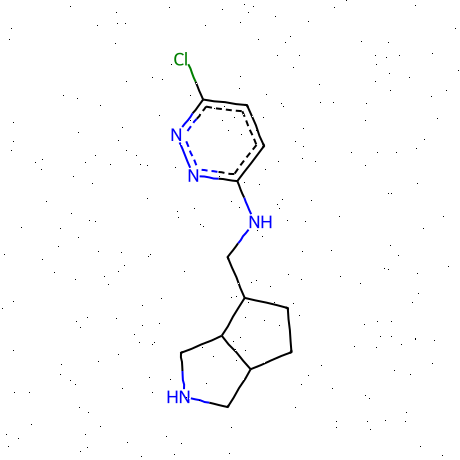 Clc1ccc(NCC2CCC3CNCC32)nn1